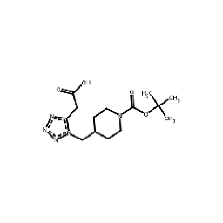 CC(C)(C)OC(=O)N1CCC(Cn2nnnc2CC(=O)O)CC1